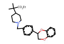 CCOC(=O)C(C)(C)C1CCN(Cc2ccc(C3COc4ccccc4O3)cc2)CC1